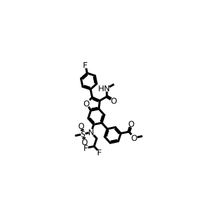 CNC(=O)c1c(-c2ccc(F)cc2)oc2cc(N(CC(F)F)S(C)(=O)=O)c(-c3cccc(C(=O)OC)c3)cc12